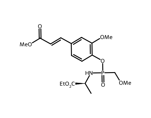 CCOC(=O)[C@H](C)NP(=O)(COC)Oc1ccc(/C=C/C(=O)OC)cc1OC